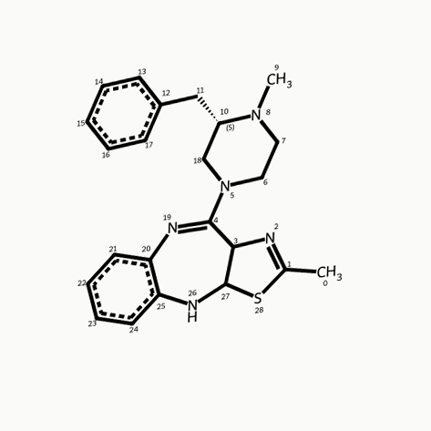 CC1=NC2C(N3CCN(C)[C@@H](Cc4ccccc4)C3)=Nc3ccccc3NC2S1